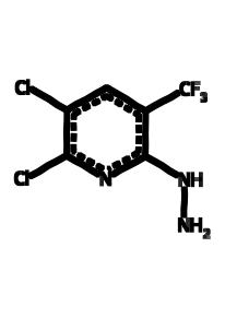 NNc1nc(Cl)c(Cl)cc1C(F)(F)F